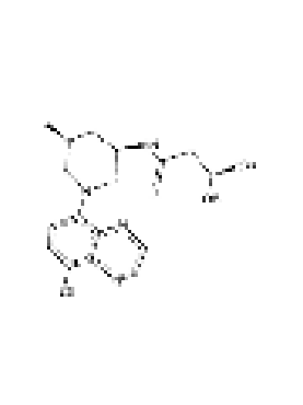 C[C@H]1C[C@@H](NC(=O)C[C@H](O)C(C)(C)C)CN(c2ccc(C#N)c3nccnc23)C1